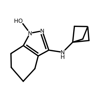 On1nc(NC23CC(C2)C3)c2c1CCCC2